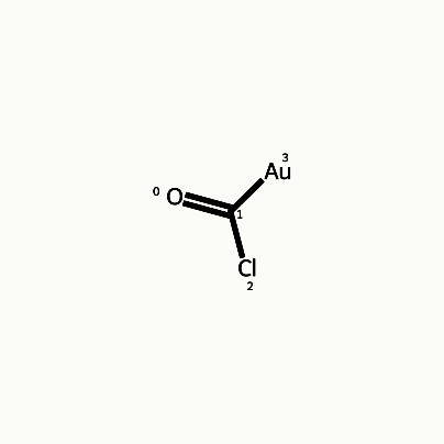 O=[C](Cl)[Au]